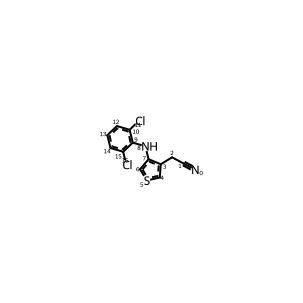 N#CCc1cscc1Nc1c(Cl)cccc1Cl